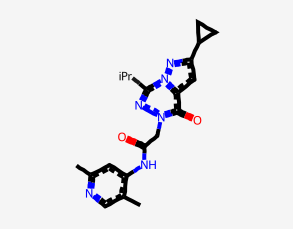 Cc1cc(NC(=O)Cn2nc(C(C)C)n3nc(C4CC4)cc3c2=O)c(C)cn1